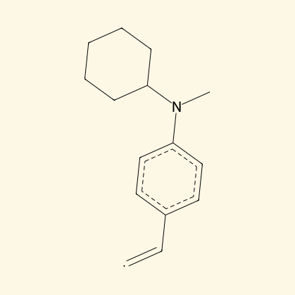 [CH]=Cc1ccc(N(C)C2CCCCC2)cc1